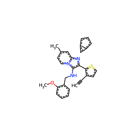 C#Cc1ccsc1-c1nc2cc(C)ccn2c1NCc1ccccc1OC.c1cc2cc-2c1